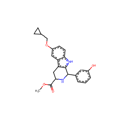 COC(=O)C1Cc2c([nH]c3ccc(OCC4CC4)cc23)C(c2cccc(O)c2)N1